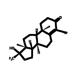 C[C@]12CCC(=O)C(Br)=C1CC[C@@H]1[C@@H]2CC[C@@]2(C)[C@H]1CC[C@@]2(O)C(F)(F)F